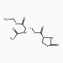 CCOC(=O)[C@H](CSC(=O)[C@@H]1CSC(=O)N1)NC(C)=O